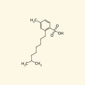 Cc1ccc(S(=O)(=O)O)c(CCCCCCC(C)C)c1